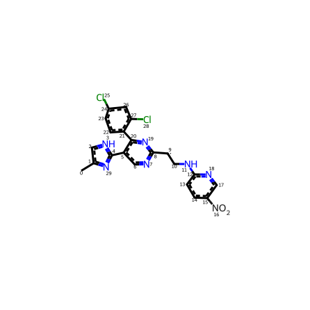 Cc1c[nH]c(-c2cnc([CH]CNc3ccc([N+](=O)[O-])cn3)nc2-c2ccc(Cl)cc2Cl)n1